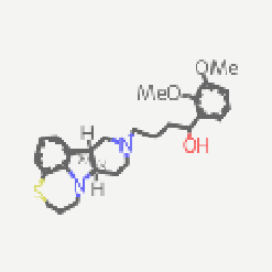 COc1cccc(C(O)CCCN2CC[C@H]3[C@@H](C2)c2cccc4c2N3CCCS4)c1OC